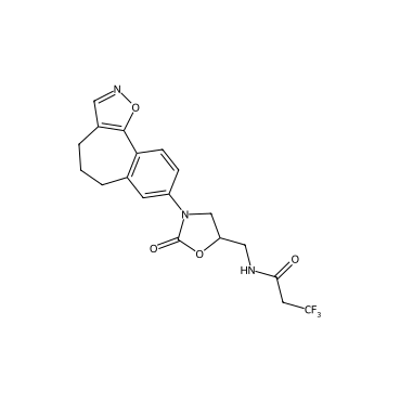 O=C(CC(F)(F)F)NCC1CN(c2ccc3c(c2)CCCc2cnoc2-3)C(=O)O1